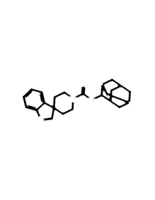 O=C(NC1C2CC3CC(C2)CC1C3)N1CCC2(CC1)CNc1ccccc12